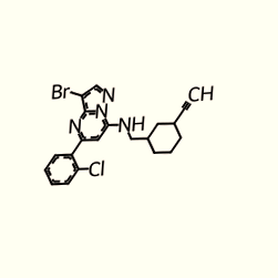 C#CC1CCCC(CNc2cc(-c3ccccc3Cl)nc3c(Br)cnn23)C1